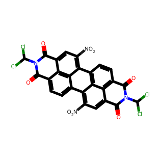 O=C1c2ccc3c4c([N+](=O)[O-])cc5c6c(ccc(c7c([N+](=O)[O-])cc(c2c37)C(=O)N1C(Cl)Cl)c64)C(=O)N(C(Cl)Cl)C5=O